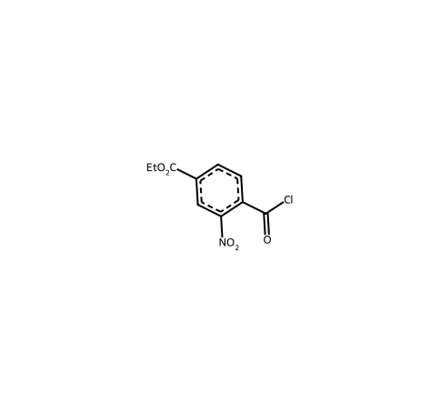 CCOC(=O)c1ccc(C(=O)Cl)c([N+](=O)[O-])c1